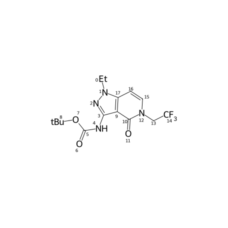 CCn1nc(NC(=O)OC(C)(C)C)c2c(=O)n(CC(F)(F)F)ccc21